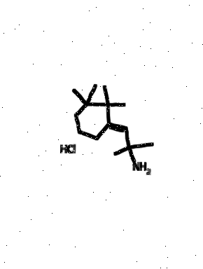 CC(C)(N)C=C1CCCC(C)(C)C1(C)C.Cl